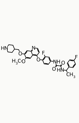 COc1cc2c(Oc3ccc(NC(=O)C(=O)NC(C)c4ccc(F)cc4)cc3F)ccnc2cc1OCC1CCNCC1